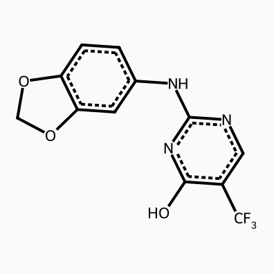 Oc1nc(Nc2ccc3c(c2)OCO3)ncc1C(F)(F)F